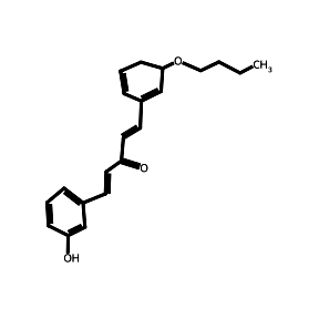 CCCCOC1C=C(/C=C/C(=O)/C=C/c2cccc(O)c2)C=CC1